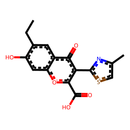 CCc1cc2c(=O)c(-c3nc(C)cs3)c(C(=O)O)oc2cc1O